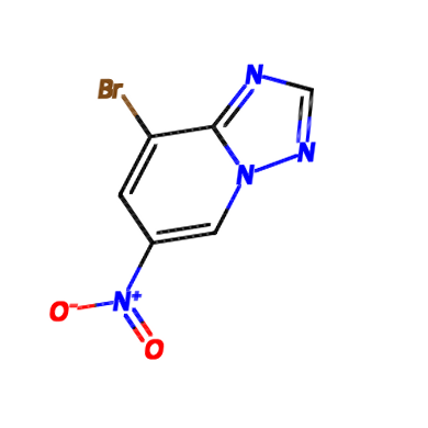 O=[N+]([O-])c1cc(Br)c2ncnn2c1